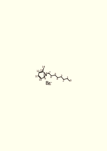 CCCCCCCC[n+]1ccccc1C.[Br-]